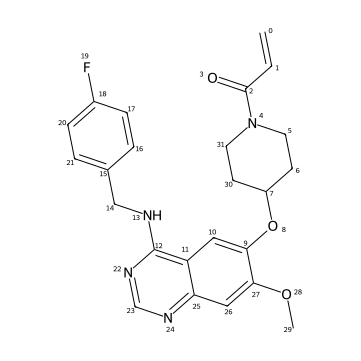 C=CC(=O)N1CCC(Oc2cc3c(NCc4ccc(F)cc4)ncnc3cc2OC)CC1